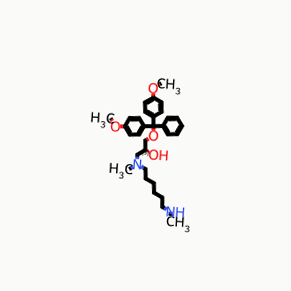 CNCCCCCCN(C)C[C@H](O)COC(c1ccccc1)(c1ccc(OC)cc1)c1ccc(OC)cc1